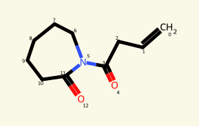 C=CCC(=O)N1CCCCCC1=O